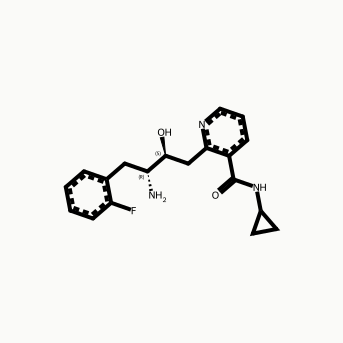 N[C@H](Cc1ccccc1F)[C@@H](O)Cc1ncccc1C(=O)NC1CC1